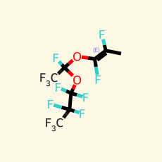 C/C(F)=C(\F)OC(F)(OC(F)(F)C(F)(F)C(F)(F)F)C(F)(F)F